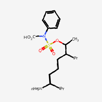 CCCCCCCC(CCCC(C(C)C)C(C)OS(=O)(=O)N(C(=O)O)c1ccccc1)C(C)C